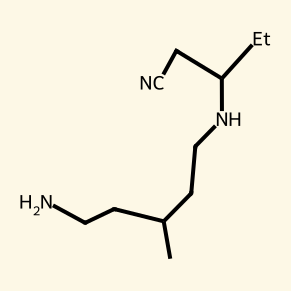 CCC(CC#N)NCCC(C)CCN